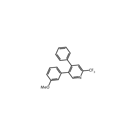 COc1cccc(-c2cnc(C(F)(F)F)cc2-c2ccccc2)c1